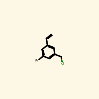 C=Cc1cc(CCl)cc(C(C)C)c1